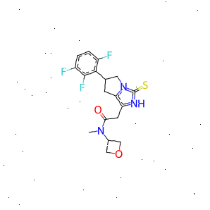 CN(C(=O)Cc1[nH]c(=S)n2c1CC(c1c(F)ccc(F)c1F)C2)C1COC1